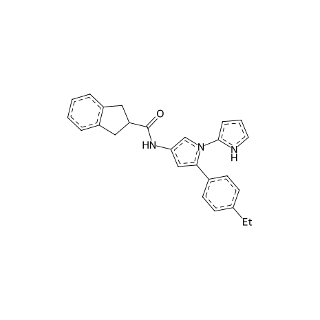 CCc1ccc(-c2cc(NC(=O)C3Cc4ccccc4C3)cn2-c2ccc[nH]2)cc1